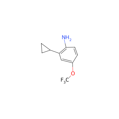 Nc1ccc(OC(F)(F)F)cc1C1CC1